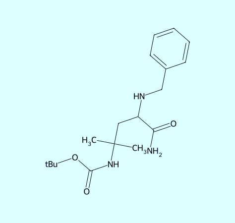 CC(C)(CC(NCc1ccccc1)C(N)=O)NC(=O)OC(C)(C)C